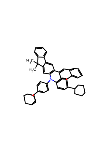 CC1(C)c2ccccc2-c2cc(-c3ccc4ccccc4c3)c(N(c3ccc(C4CCCCC4)cc3)c3ccc(C4CC5CCC4CC5)cc3)cc21